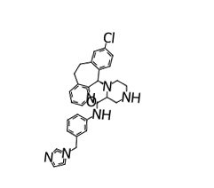 O=C(Nc1cccc(Cn2ccnc2)c1)C1CNCCN1[C@@H]1c2ccc(Cl)cc2CCc2cccnc21